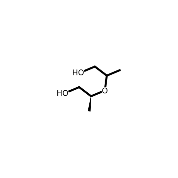 CC(CO)O[C@@H](C)CO